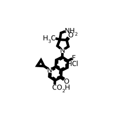 CC1(CN)CN(c2cc3c(cc2F)c(=O)c(C(=O)O)cn3C2CC2)CC1=O.Cl